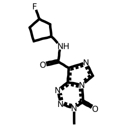 Cn1nnc2c(C(=O)NC3CCC(F)C3)ncn2c1=O